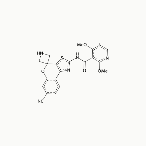 COc1ncnc(OC)c1C(=O)Nc1nc2c(s1)C1(CNC1)Oc1cc(C#N)ccc1-2